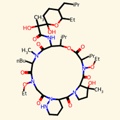 CCCCC1C(=O)N(OCC)CC(=O)N2NCCCC2C(=O)N2CCC(C)(O)C2C(=O)N(OCC)C(C(C)C)C(=O)OC(C(C)C)C(NC(=O)C(C)(O)C2(O)CCC(CC(C)C)C(CC)O2)C(=O)N1C